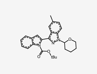 Cc1ccc2c(c1)c(-c1cc3ccccc3n1C(=O)OC(C)(C)C)nn2C1CCCCO1